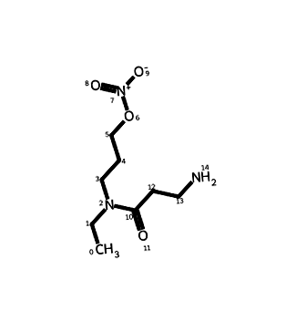 CCN(CCCO[N+](=O)[O-])C(=O)CCN